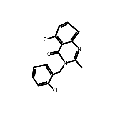 Cc1nc2cccc(Cl)c2c(=O)n1Cc1ccccc1Cl